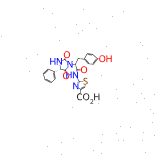 O=C(O)c1csc(NC(=O)C(Cc2ccc(O)cc2)N2C(=O)N[C@@H](c3ccccc3)C2=O)n1